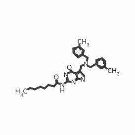 CCCCCCCC(=O)NC1=NC(=O)C2=C(CN(Cc3cccc(C)c3)Cc3cccc(C)c3)C=NC2=N1